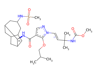 COC(=O)NC(C)(C)/C=C/n1ncc(C(=O)N[C@@H]2C3CC(NS(C)(=O)=O)CC4CC2CC4C3)c1OCC(C)C